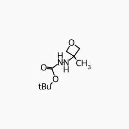 CC1(NNC(=O)OC(C)(C)C)COC1